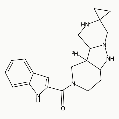 [2H]C12CN(C(=O)c3cc4ccccc4[nH]3)CCC1NN1CC3(CC3)NCC12